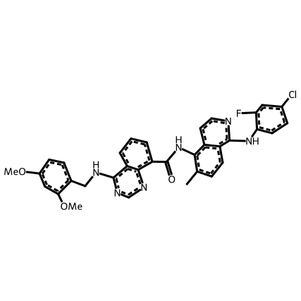 COc1ccc(CNc2ncnc3c(C(=O)Nc4c(C)ccc5c(Nc6ccc(Cl)cc6F)nccc45)cccc23)c(OC)c1